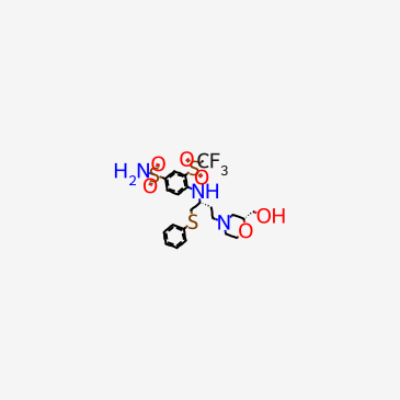 NS(=O)(=O)c1ccc(N[C@H](CCN2CCO[C@@H](CO)C2)CSc2ccccc2)c(S(=O)(=O)C(F)(F)F)c1